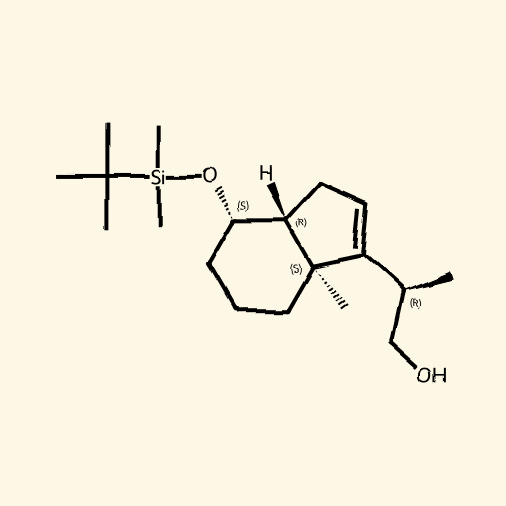 C[C@@H](CO)C1=CC[C@H]2[C@@H](O[Si](C)(C)C(C)(C)C)CCC[C@]12C